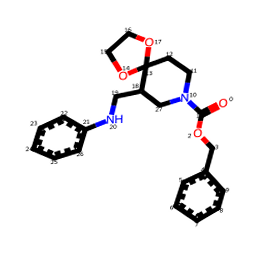 O=C(OCc1ccccc1)N1CCC2(OCCO2)C(CNc2ccccc2)C1